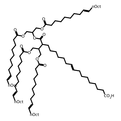 CCCCCCCCC=CCCCCCCCC(=O)OCC(COC(=O)CCCCCCCC=CCCCCCCCC)OC(=O)C(CCCCCCC=CCCCCCCCC(=O)O)C(COC(=O)CCCCCCCC=CCCCCCCCC)COC(=O)CCCCCCCC=CCCCCCCCC